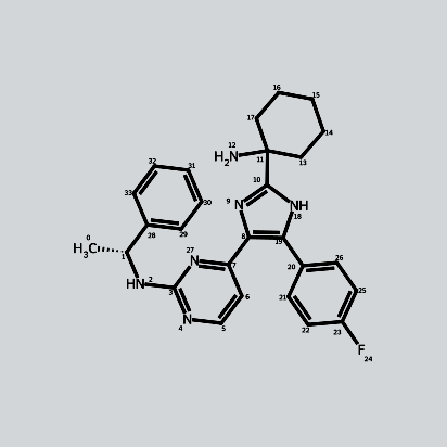 C[C@@H](Nc1nccc(-c2nc(C3(N)CCCCC3)[nH]c2-c2ccc(F)cc2)n1)c1ccccc1